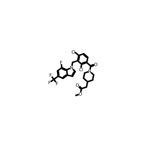 COC(=O)CC1CCN(C(=O)c2ccc(Cl)c(Cn3ccc4cc(C(F)(F)F)cc(F)c43)c2Cl)CC1